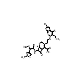 NCc1c(S/C=C/C2=C(C(=O)O)N3C(=O)C(NC(=O)/C(=N/O)c4csc(N)n4)[C@H]3SC2)sc2sc(Cl)cc2c1=O